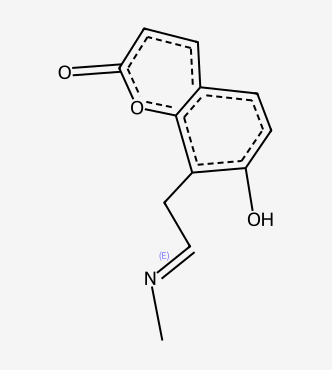 C/N=C/Cc1c(O)ccc2ccc(=O)oc12